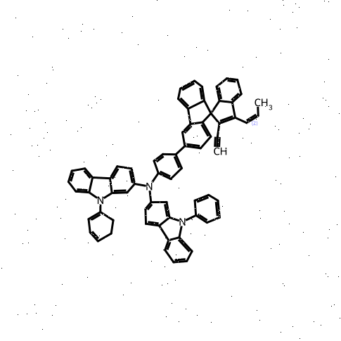 C#CC1=C(/C=C\C)c2ccccc2C12c1ccccc1-c1cc(-c3ccc(N(c4ccc5c6ccccc6n(C6=CC=CCC6)c5c4)c4ccc5c6ccccc6n(-c6ccccc6)c5c4)cc3)ccc12